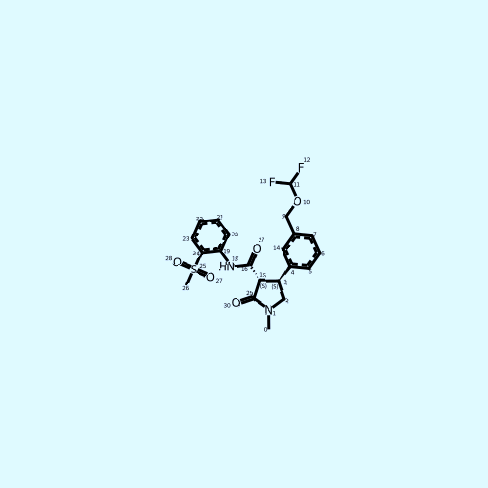 CN1C[C@H](c2cccc(COC(F)F)c2)[C@@H](C(=O)Nc2ccccc2S(C)(=O)=O)C1=O